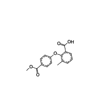 COC(=O)c1ccc(Oc2c(C)cccc2C(=O)O)cc1